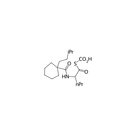 CCCC(NC(=O)C1(CCC(C)C)CCCCC1)C(=O)SC(=O)O